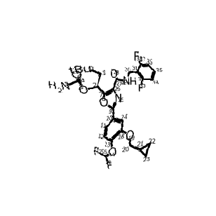 CC(C)(C)C[C@H](OC(N)=O)c1oc(-c2ccc(OC(F)F)c(OCC3CC3)c2)nc1C(=O)NCc1c(F)cccc1F